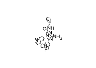 Cc1ccnc2ccc(-c3c(-c4ccc(F)cc4)nc(N)c4nc(C(=O)NCCN5CCCC5)cn34)cc12